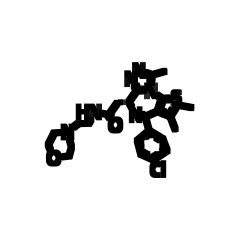 Cc1sc2c(c1C)C(c1ccc(Cl)cc1)=N[C@H](CC(=O)NCCN1CCOCC1)c1nnc(C)n1-2